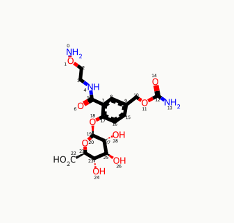 NOCCNC(=O)c1cc(COC(N)=O)ccc1O[C@@H]1O[C@H](C(=O)O)[C@@H](O)[C@H](O)[C@H]1O